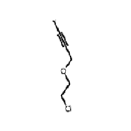 [CH2]C#CCOCCCl